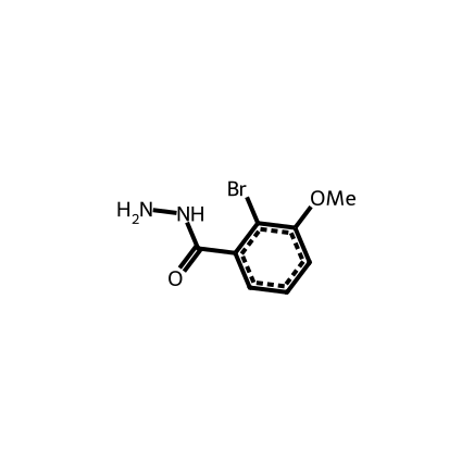 COc1cccc(C(=O)NN)c1Br